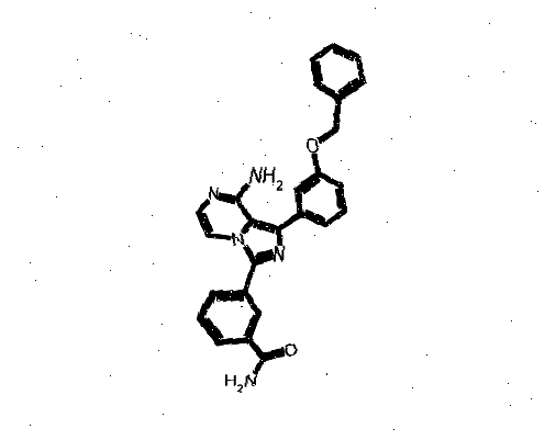 NC(=O)c1cccc(-c2nc(-c3cccc(OCc4ccccc4)c3)c3c(N)nccn23)c1